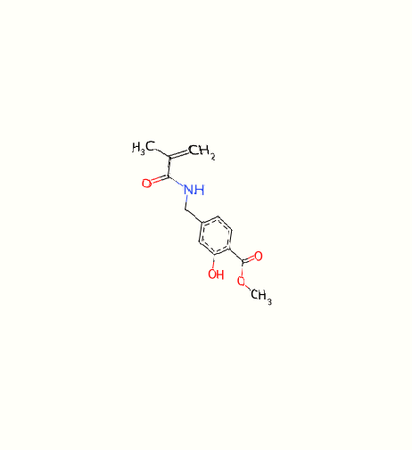 C=C(C)C(=O)NCc1ccc(C(=O)OC)c(O)c1